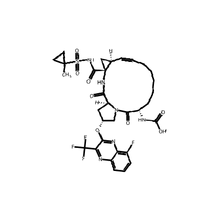 CC1(S(=O)(=O)NC(=O)[C@@]23C[C@H]2C=CCCCCC[C@H](NC(=O)O)C(=O)N2C[C@H](Oc4nc5c(F)cccc5nc4C(F)(F)F)C[C@H]2C(=O)N3)CC1